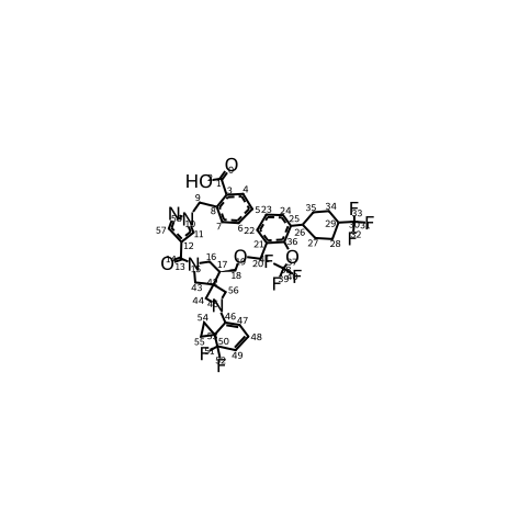 O=C(O)c1ccccc1Cn1cc(C(=O)N2C[C@@H](COCc3cccc(C4CCC(C(F)(F)F)CC4)c3OC(F)(F)F)C3(C2)CN(C2=CC=CC(F)(F)C24CC4)C3)cn1